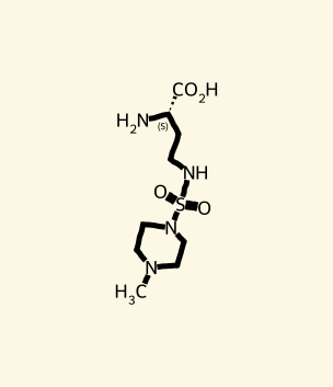 CN1CCN(S(=O)(=O)NCC[C@H](N)C(=O)O)CC1